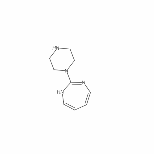 C1=CN=C(N2CCNCC2)NC=C1